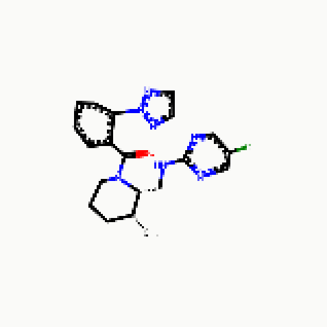 C[C@@H]1CCCN(C(=O)c2ccccc2-n2nccn2)[C@@H]1CNc1ncc(Cl)cn1